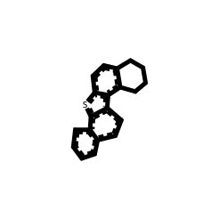 c1ccc2c(c1)ccc1c2sc2ccc3c(c21)CCCC3